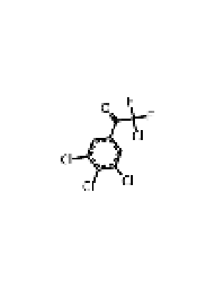 O=C(c1cc(Cl)c(Cl)c(Cl)c1)C(F)(F)Cl